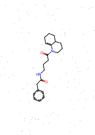 O=C(Cc1ccccc1)NCCCC(=O)N1CCCC2CCCC=C21